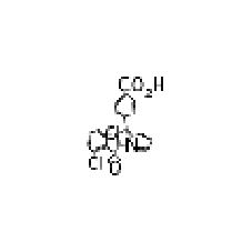 O=C(O)c1ccc(-c2cc(C3(c4c(Cl)cccc4Cl)COC3)n3ccccc23)cc1